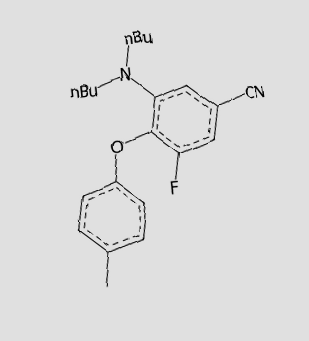 CCCCN(CCCC)c1cc(C#N)cc(F)c1Oc1ccc(C)cc1